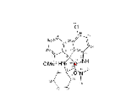 COc1ccccc1C1(NC2(C(=O)N(C)C)CCCCC2)C(=O)Nc2ccc(Cl)cc21